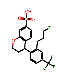 O=S(=O)(O)c1ccc2c(c1)OCCC2c1ccc(C(F)(F)F)cc1CCCF